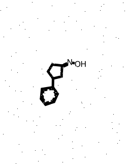 ON=C1CCC(c2ccccc2)C1